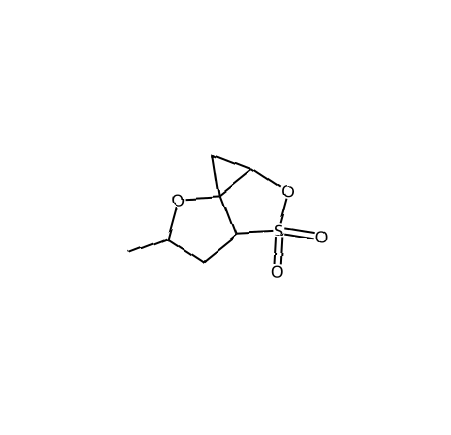 CC1CC2C3(CC3OS2(=O)=O)O1